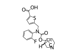 O=C(O)c1ccc(CN(C(=O)O[C@H]2CN3CCC2CC3)c2ccccc2F)s1